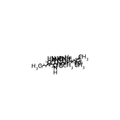 CCCCCCCC1=C(C2C(C3CCCC3)NCN2CC)C(NC(=O)C(C(C)N)C(C)NCC(F)CCC(CC)(CCC)C2CCC2)=CNC1